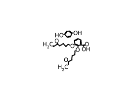 C=CC(=O)CCCCOc1cccc(C(=O)O)c1OCCCCC(=O)C=C.Oc1ccc(O)cc1